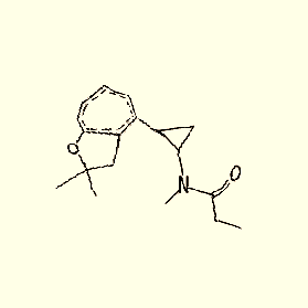 CCC(=O)N(C)C1CC1c1cccc2c1CC(C)(C)O2